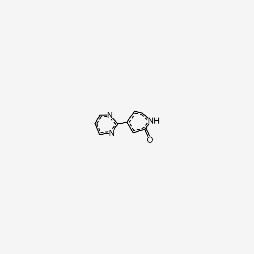 O=c1cc(-c2ncccn2)cc[nH]1